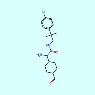 CC(C)(CNC(=O)C(N)C1CCC(C=O)CC1)c1ccc(Cl)cc1